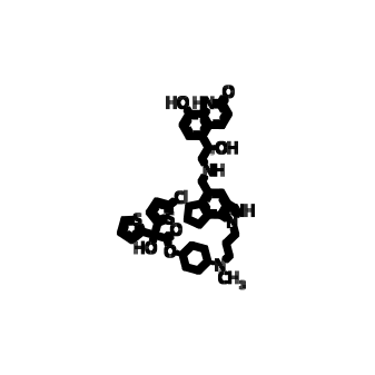 CN(CCCn1[nH]c2cc(CNC[C@H](O)c3ccc(O)c4[nH]c(=O)ccc34)c3c(c21)CCC3)[C@H]1CC[C@H](OC(=O)C(O)(c2cccs2)c2ccc(Cl)s2)CC1